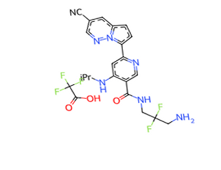 CC(C)Nc1cc(-c2ccc3cc(C#N)cnn23)ncc1C(=O)NCC(F)(F)CN.O=C(O)C(F)(F)F